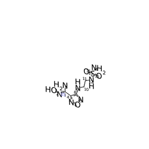 N/C(=N\O)c1nonc1NCCNS(N)(=O)=O